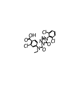 CCN(C(=O)n1nnn(-c2c(Cl)cccc2Cl)c1=O)c1ccc(C(=O)O)c(Cl)c1